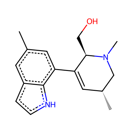 Cc1cc(C2=C[C@@H](C)CN(C)[C@@H]2CO)c2[nH]ccc2c1